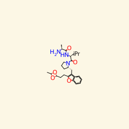 CC1OC(CCc2oc3ccccc3c2C[C@@H]2CCCN2C(=O)[C@@H](NC(=O)[C@H](C)N)C(C)C)O1